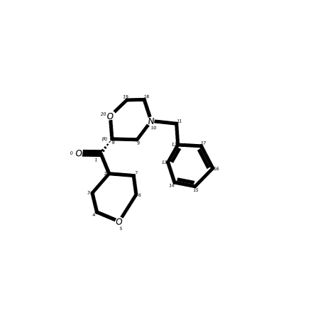 O=C(C1CCOCC1)[C@H]1CN(Cc2ccccc2)CCO1